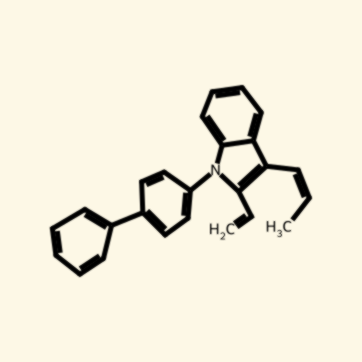 C=Cc1c(/C=C\C)c2ccccc2n1-c1ccc(-c2ccccc2)cc1